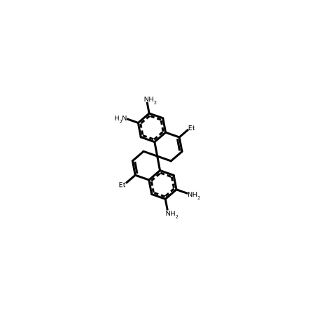 CCC1=CCC2(CC=C(CC)c3cc(N)c(N)cc32)c2cc(N)c(N)cc21